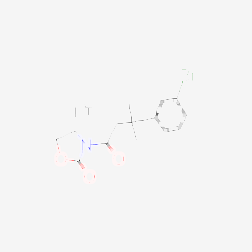 CC(C)[C@H]1COC(=O)N1C(=O)CC(C)(C)c1cccc(Br)c1